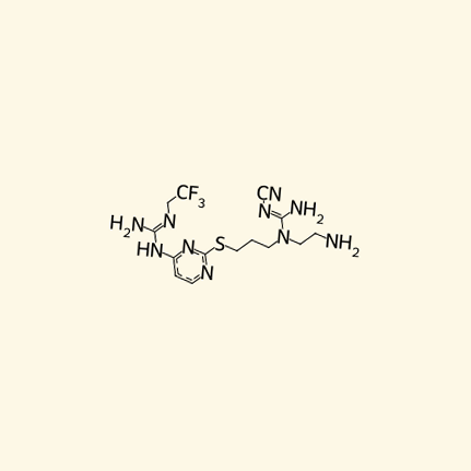 N#CN=C(N)N(CCN)CCCSc1nccc(NC(N)=NCC(F)(F)F)n1